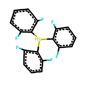 Fc1cccc(F)c1[SH](c1c(F)cccc1F)c1c(F)cccc1F